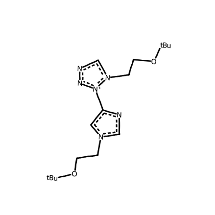 CC(C)(C)OCCn1cnc(-[n+]2nncn2CCOC(C)(C)C)c1